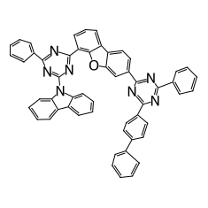 c1ccc(-c2ccc(-c3nc(-c4ccccc4)nc(-c4ccc5c(c4)oc4c(-c6nc(-c7ccccc7)nc(-n7c8ccccc8c8ccccc87)n6)cccc45)n3)cc2)cc1